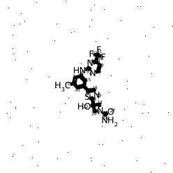 Cc1cc(Nc2nccc(C(F)(F)F)n2)cc(-c2cnc(C3(O)CN(C(N)=O)C3)s2)c1